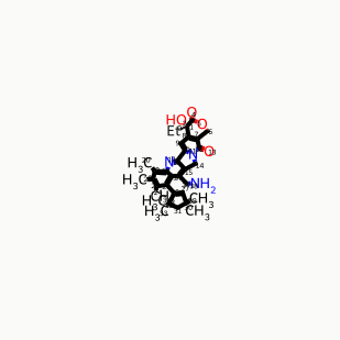 CC[C@@]1(O)C(=O)OCc2c1cc1n(c2=O)Cc2c-1nc1c(C)c(C)c(C)c(C3=CC(C)(C)CC3(C)C)c1c2CN